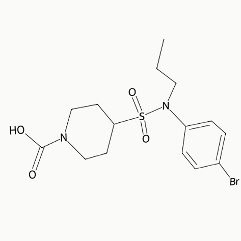 CCCN(c1ccc(Br)cc1)S(=O)(=O)C1CCN(C(=O)O)CC1